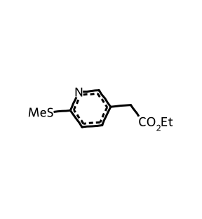 CCOC(=O)Cc1ccc(SC)nc1